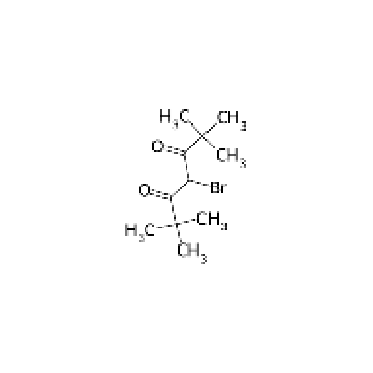 CC(C)(C)C(=O)C(Br)C(=O)C(C)(C)C